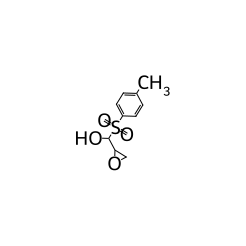 Cc1ccc(S(=O)(=O)C(O)C2CO2)cc1